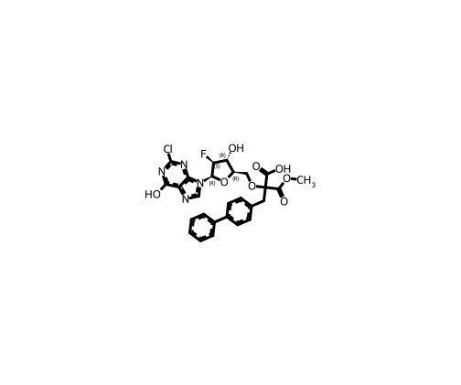 COC(=O)C(Cc1ccc(-c2ccccc2)cc1)(OC[C@H]1O[C@@H](n2cnc3c(O)nc(Cl)nc32)[C@@H](F)[C@@H]1O)C(=O)O